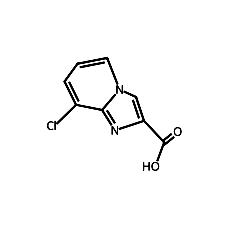 O=C(O)c1cn2cccc(Cl)c2n1